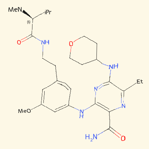 CCc1nc(C(N)=O)c(Nc2cc(CCNC(=O)[C@@H](NC)C(C)C)cc(OC)c2)nc1NC1CCOCC1